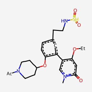 CCOc1cc(=O)n(C)cc1-c1cc(CCN[SH](=O)=O)ccc1OC1CCN(C(C)=O)CC1